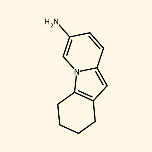 Nc1ccc2cc3c(n2c1)CCCC3